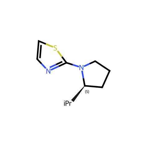 CC(C)[C@@H]1CCCN1c1nccs1